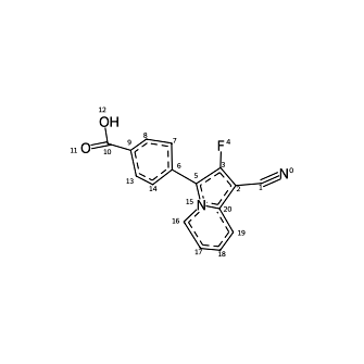 N#Cc1c(F)c(-c2ccc(C(=O)O)cc2)n2ccccc12